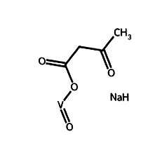 CC(=O)CC(=O)[O][V]=[O].[NaH]